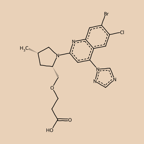 C[C@H]1C[C@@H](COCCC(=O)O)N(c2cc(-n3cncn3)c3cc(Cl)c(Br)cc3n2)C1